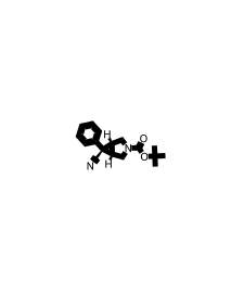 CC(C)(C)OC(=O)N1C[C@@H]2[C@H](C1)[C@]2(C#N)c1ccccc1